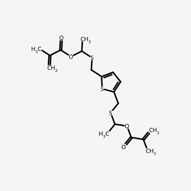 C=C(C)C(=O)OC(C)SCc1ccc(CSC(C)OC(=O)C(=C)C)s1